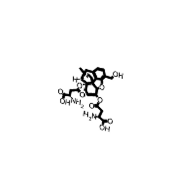 CN1CCC23c4c5ccc(CO)c4OC2C(OC(=O)C[C@H](N)C(=O)O)=CC[C@@]3(OC(=O)C[C@H](N)C(=O)O)[C@H]1C5